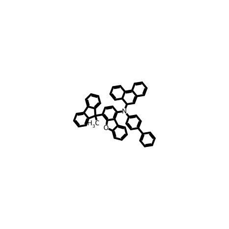 CC1(c2ccc(N(c3ccc(-c4ccccc4)cc3)C3C=c4ccccc4=C4C=CC=CC43)c3c2oc2ccccc23)c2ccccc2-c2ccccc21